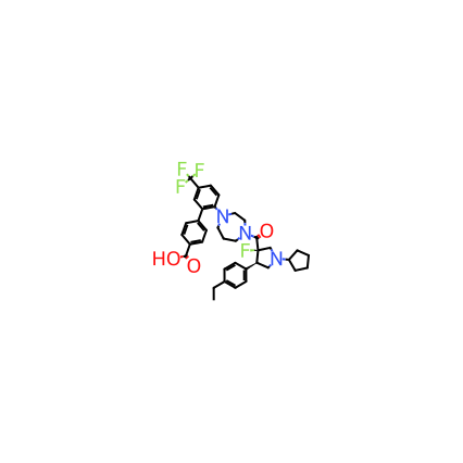 CCc1ccc([C@@H]2CN(C3CCCC3)C[C@@]2(F)C(=O)N2CCCN(c3ccc(C(F)(F)F)cc3-c3ccc(C(=O)O)cc3)CC2)cc1